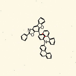 c1ccc(-c2nc3cc4c(oc5ccccc54)c(-c4ccc(N(c5ccc6ccc7ccccc7c6c5)c5ccccc5-c5ccccc5)cc4)c3o2)cc1